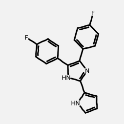 Fc1ccc(-c2nc(-c3ccc[nH]3)[nH]c2-c2ccc(F)cc2)cc1